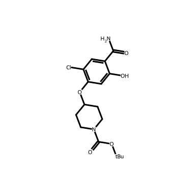 CC(C)(C)OC(=O)N1CCC(Oc2cc(O)c(C(N)=O)cc2Cl)CC1